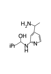 CC(N)c1ccnc(NC(O)C(C)C)c1